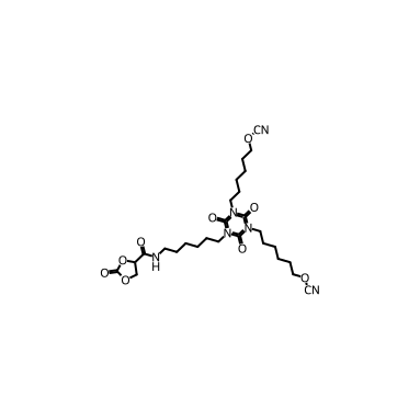 N#COCCCCCCn1c(=O)n(CCCCCCNC(=O)C2COC(=O)O2)c(=O)n(CCCCCCOC#N)c1=O